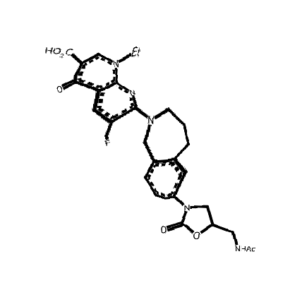 CCn1cc(C(=O)O)c(=O)c2cc(F)c(N3CCCc4cc(N5CC(CNC(C)=O)OC5=O)ccc4C3)nc21